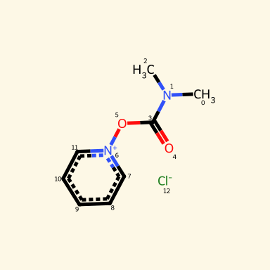 CN(C)C(=O)O[n+]1ccccc1.[Cl-]